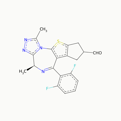 Cc1nnc2n1-c1sc3c(c1C(c1c(F)cccc1F)=N[C@H]2C)CC(C=O)C3